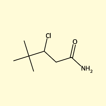 CC(C)(C)C(Cl)CC(N)=O